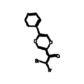 O=C(C1=COC(C2=CC=CCC2)=CO1)C(Br)Br